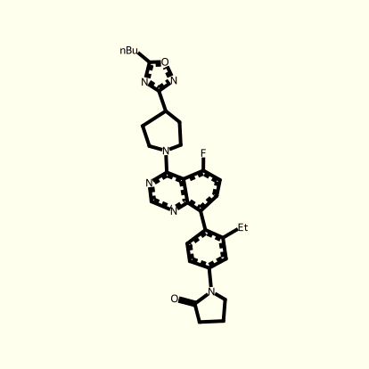 CCCCc1nc(C2CCN(c3ncnc4c(-c5ccc(N6CCCC6=O)cc5CC)ccc(F)c34)CC2)no1